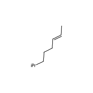 [CH2]C(C)CCC/C=C/C